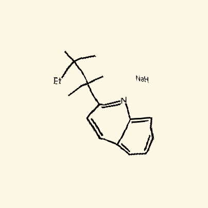 CCC(C)(C)C(C)(C)c1ccc2ccccc2n1.[NaH]